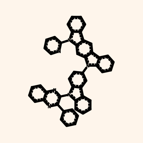 c1ccc(-c2nc3ccccc3nc2-n2c3ccccc3c3cc(-n4c5ccccc5c5cc6c7ccccc7n(-c7ccccn7)c6cc54)ccc32)cc1